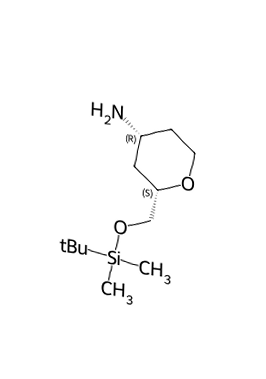 CC(C)(C)[Si](C)(C)OC[C@@H]1C[C@H](N)CCO1